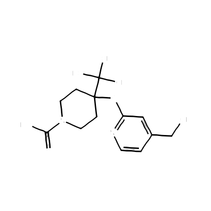 CC(C)(C)C1(Oc2cc(CO)ccn2)CCN(C(=O)O)CC1